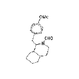 COc1ccc(CC2C3CCCCC3CCN2C=O)cc1